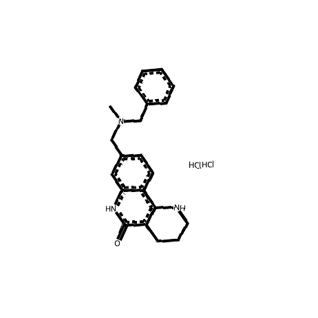 CN(Cc1ccccc1)Cc1ccc2c3c(c(=O)[nH]c2c1)CCCN3.Cl.Cl